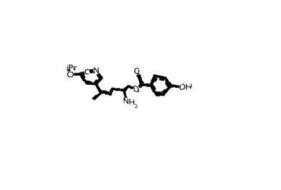 CC(=CCC(N)COC(=O)c1ccc(O)cc1)c1cncc(OC(C)C)c1